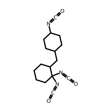 O=C=NC1CCC(CC2CCCCC2(N=C=O)N=C=O)CC1